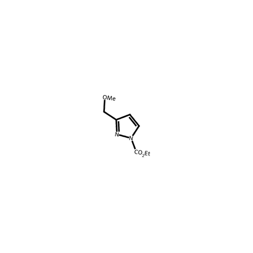 CCOC(=O)n1ccc(COC)n1